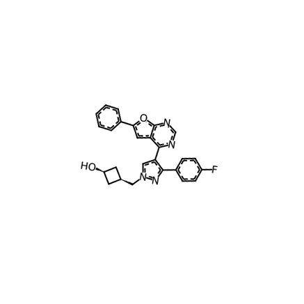 O[C@H]1C[C@@H](Cn2cc(-c3ncnc4oc(-c5ccccc5)cc34)c(-c3ccc(F)cc3)n2)C1